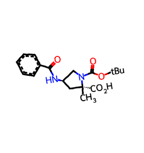 CC(C)(C)OC(=O)N1C[C@H](NC(=O)c2ccccc2)C[C@@]1(C)C(=O)O